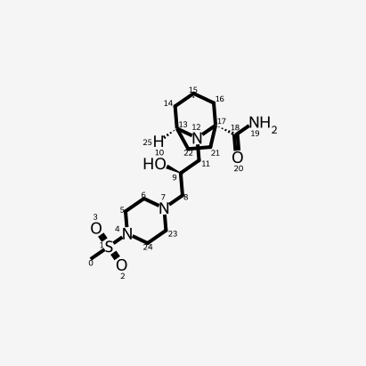 CS(=O)(=O)N1CCN(C[C@@H](O)CN2[C@@H]3C[CH]C[C@@]2(C(N)=O)CC3)CC1